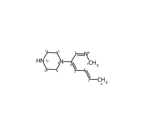 C/C=C/C=C(\C=N/C)N1CCNCC1